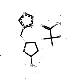 N[C@@H]1CC[C@@H](Cn2cncn2)C1.O=C(O)C(F)(F)F